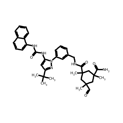 CC1(C=O)CC(C)(C(N)=O)CC(C)(C(=O)NCc2cccc(-n3nc(C(C)(C)C)cc3NC(=O)Nc3cccc4ccccc34)c2)C1